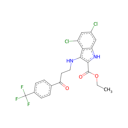 CCOC(=O)c1[nH]c2cc(Cl)cc(Cl)c2c1NCCC(=O)c1ccc(C(F)(F)F)cc1